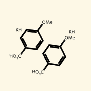 COc1ccc(C(=O)O)cc1.COc1ccc(C(=O)O)cc1.[KH].[KH]